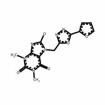 Cn1c(=O)c2c(nc(Cl)n2Cc2nnc(-c3ccco3)o2)n(C)c1=O